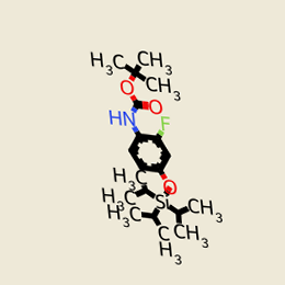 CC(C)[Si](Oc1ccc(NC(=O)OC(C)(C)C)c(F)c1)(C(C)C)C(C)C